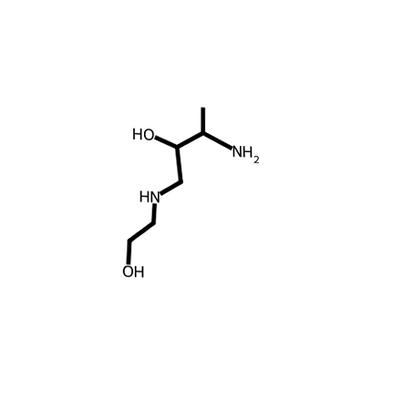 CC(N)C(O)CNCCO